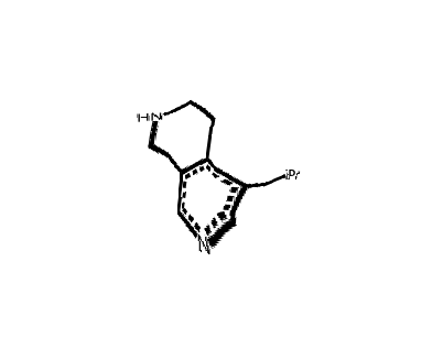 CC(C)c1cncc2c1CCNC2